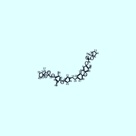 CCC1(OC(=O)COc2cc(I)c(Oc3ccc(CCc4ccc(Oc5cc(I)c(OCC(=O)OC6(CC)CCCC6)cc5I)cc4)cc3)cc2I)CCCC1